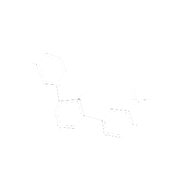 Cn1cc(-c2ccccc2)c(=O)c(-c2cccc([N+](=O)[O-])c2)c1